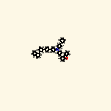 c1ccc(-c2ccc(N(c3ccc(-c4ccc(-c5cccc(-c6cccc7ccccc67)c5)cc4)cc3)c3ccc(-c4cccc5oc6ccccc6c45)cc3)cc2)cc1